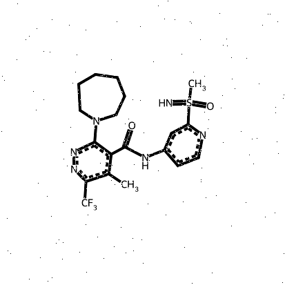 Cc1c(C(F)(F)F)nnc(N2CCCCCC2)c1C(=O)Nc1ccnc(S(C)(=N)=O)c1